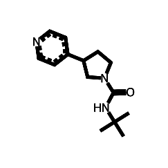 CC(C)(C)NC(=O)N1CCC(c2ccncc2)C1